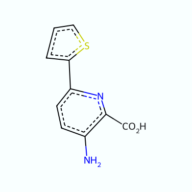 Nc1ccc(-c2cccs2)nc1C(=O)O